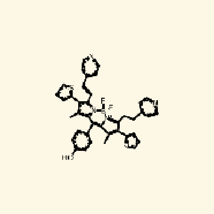 CC1=C(c2cccs2)C(CCc2ccncc2)=[N+]2C1=C(c1ccc(O)cc1)c1c(C)c(-c3cccs3)c(/C=C/c3ccncc3)n1[B-]2(F)F